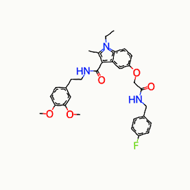 CCn1c(C)c(C(=O)NCCc2ccc(OC)c(OC)c2)c2cc(OCC(=O)NCc3ccc(F)cc3)ccc21